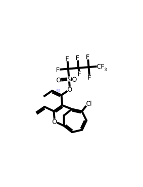 C=CC1=C(/C(=C\C)OS(=O)(=O)C(F)(F)C(F)(F)C(F)(F)C(F)(F)F)C2=C(Cl)C=CC=C(C2)O1